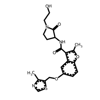 Cc1ncsc1COc1ccc2oc(C)c(C(=O)NC3CCN(CCO)C3=O)c2c1